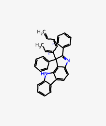 C=C/C=C\C(=C/C)C1(c2ccccc2)C(c2ccccc2)=Nc2ccc3c([nH]c4ccccc43)c21